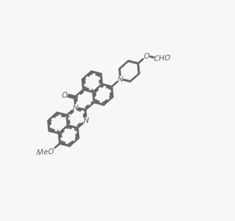 COc1ccc2nc3c4ccc(N5CCC(OC=O)CC5)c5cccc(c(=O)n3c3cccc1c23)c54